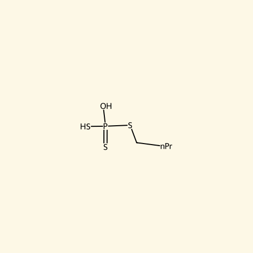 CCCCSP(O)(=S)S